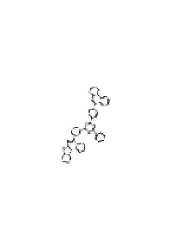 c1ccc(-c2nc(-c3ccc(-c4cc5ccccc5c5ccccc45)cc3)nc(-c3cccc(-c4nc5oc6ccccc6c5c5ccccc45)c3)n2)cc1